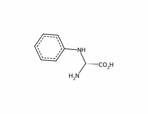 N[C@H](Nc1ccccc1)C(=O)O